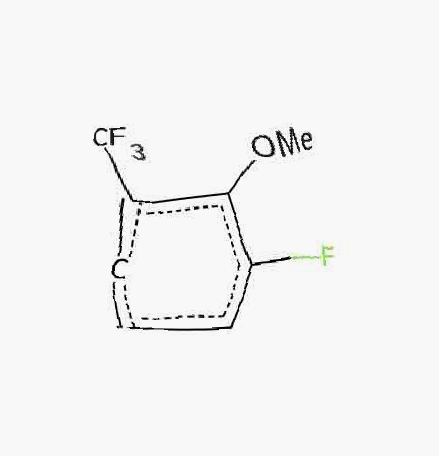 COc1c(F)c[c]cc1C(F)(F)F